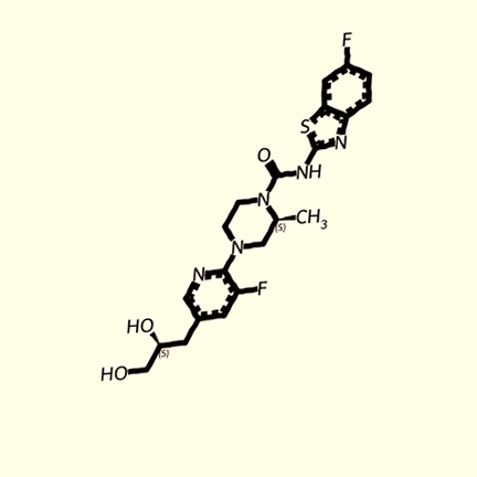 C[C@H]1CN(c2ncc(C[C@H](O)CO)cc2F)CCN1C(=O)Nc1nc2ccc(F)cc2s1